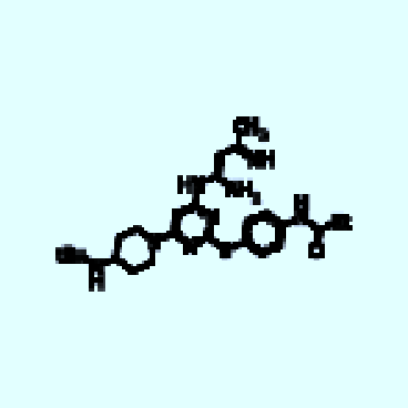 CCC(=O)Nc1ccc(Sc2nc(N/C(N)=C/C(C)=N)cc(N3CCC(NC(C)(C)C)CC3)n2)cc1